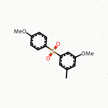 COc1ccc(S(=O)(=O)c2cc(C)cc(OC)c2)cc1